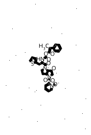 Cc1c(OC(=O)NC(Cc2cccs2)C(=O)N2CCC3C2C(=O)CN3S(=O)(=O)c2cccc[n+]2[O-])oc2ccccc12